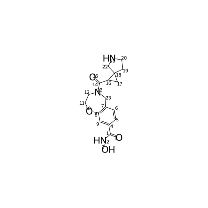 O=C(NO)c1ccc2c(c1)OCCN(C(=O)C1CC13CCNC3)C2